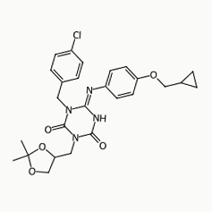 CC1(C)OCC(Cn2c(=O)[nH]/c(=N\c3ccc(OCC4CC4)cc3)n(Cc3ccc(Cl)cc3)c2=O)O1